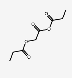 CCC(=O)OCC(=O)OC(=O)CC